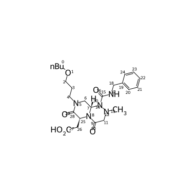 CCCCOCCCN1C[C@H]2N(C(=O)CN(C)N2C(=O)NCc2ccccc2)[C@@H](CC(=O)O)C1=O